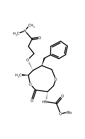 C[C@@H]1OC(=O)[C@@H](NC(=O)OC(C)(C)C)COC[C@H](Cc2ccccc2)[C@H]1OCCC(=O)N(C)C